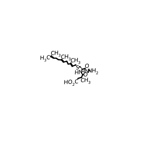 CC(C)=CCC/C(C)=C/CC/C(C)=C/CSC[C@H](NC(=O)[C@@H](C)CC(=O)O)C(=O)NN